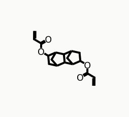 C=CC(=O)OC1CC2CC1C1C3CC(OC(=O)C=C)C(C3)C21